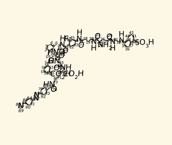 Cc1cccc(C[C@H](NC(=O)c2ccc(NC(=O)CCCNC(=O)C(N)CCC(=O)NCCNc3cccc4c(S(=O)(=O)O)cccc34)cc2F)C(=O)N[C@@H](COCc2cccc(C(=O)O)c2)C(=O)NCC(=O)N[C@@H](CCCCNC(=O)c2ccc(/N=N/c3ccc(N(C)C)cc3)cc2)C(=O)O)c1